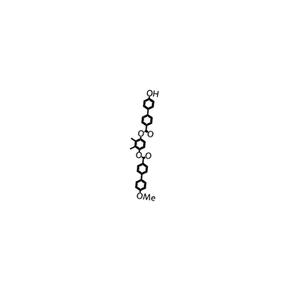 COc1ccc(-c2ccc(C(=O)Oc3ccc(OC(=O)c4ccc(-c5ccc(O)cc5)cc4)c(C)c3C)cc2)cc1